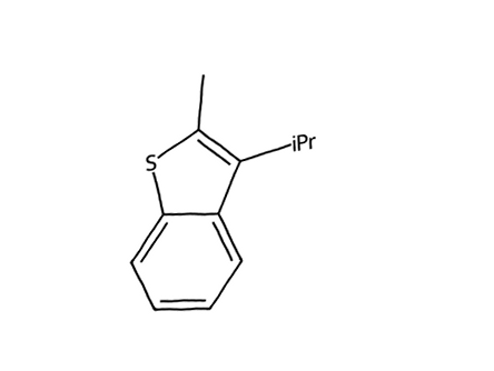 Cc1sc2ccccc2c1C(C)C